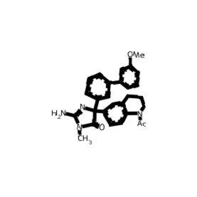 COc1cccc(-c2cccc(C3(c4ccc5c(c4)CCCN5C(C)=O)N=C(N)N(C)C3=O)c2)c1